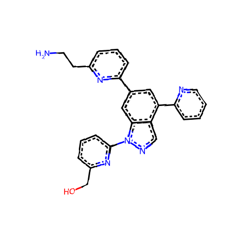 NCCc1cccc(-c2cc(-c3ccccn3)c3cnn(-c4cccc(CO)n4)c3c2)n1